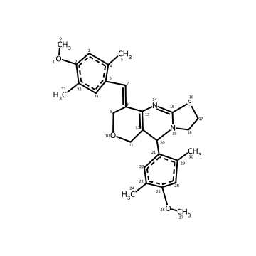 COc1cc(C)c(C=C2COCC3=C2N=C2SCCN2C3c2cc(C)c(OC)cc2C)cc1C